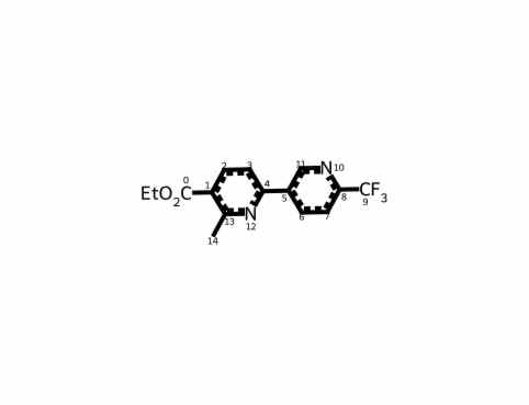 CCOC(=O)c1ccc(-c2ccc(C(F)(F)F)nc2)nc1C